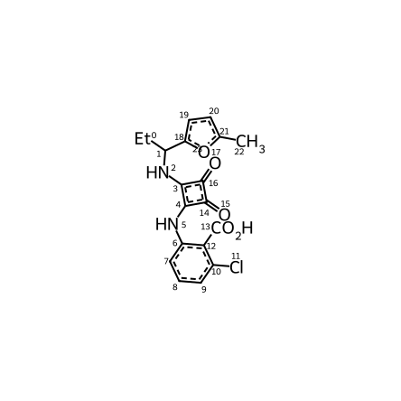 CCC(Nc1c(Nc2cccc(Cl)c2C(=O)O)c(=O)c1=O)c1ccc(C)o1